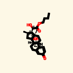 CCCCOC(=O)[C@H](O)[C@H]1[C@H](C)CC2(O)[C@@H]3CCC4=CC(=O)C=C[C@]4(C)[C@H]3CC[C@]12C